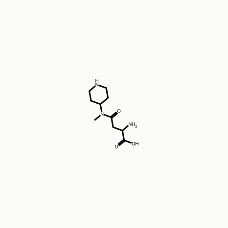 CN(C(=O)CC(N)C(=O)O)C1CCNCC1